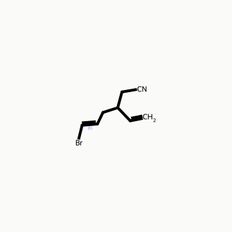 C=CC(CC#N)C/C=C/Br